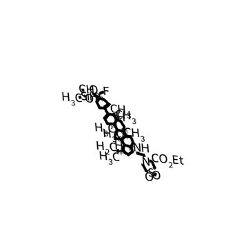 C=C(C)[C@@H]1CC[C@]2(NCCN3CCS(=O)(=O)CC3C(=O)OCC)CC[C@]3(C)[C@H](CCC4[C@@]5(C)CC=C(C6=CC[C@@](CF)(C(=O)O[SiH](C)C)CC6)C(C)(C)[C@@H]5CC[C@]43C)C12